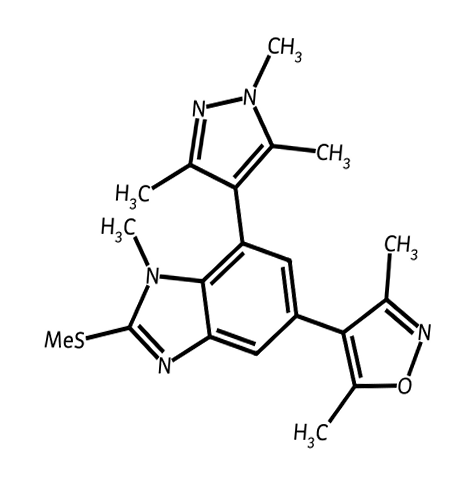 CSc1nc2cc(-c3c(C)noc3C)cc(-c3c(C)nn(C)c3C)c2n1C